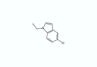 Clc1ccc2c(ccn2CI)c1